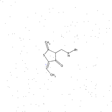 C=C1S/C(=C/C)C(=O)C1CPC(C)C